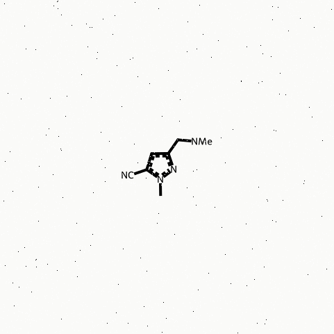 CNCc1cc(C#N)n(C)n1